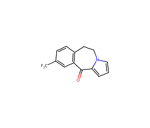 O=C1c2cc(C(F)(F)F)ccc2CCn2cccc21